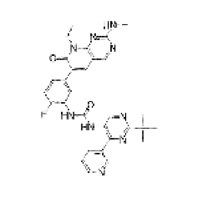 CNc1ncc2cc(-c3ccc(F)c(NC(=O)Nc4cnc(C(C)(C)C)nc4-c4cccnc4)c3)c(=O)n(C(C)C)c2n1